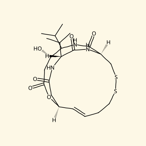 CC(C)C1NC(=O)[C@H]2CSSCC/C=C/[C@H](CC(=O)N[C@H](C(C)C)C(=O)N2)OC(=O)C[C@@H]1O